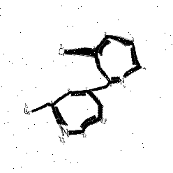 Clc1cccnc1-c1[c]c(Br)ncc1